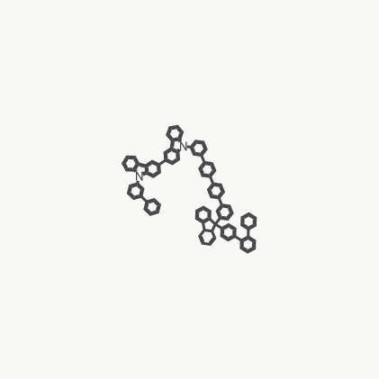 C1=CC2c3ccccc3C(c3ccc(-c4ccccc4-c4ccccc4)cc3)(c3cccc(-c4ccc(-c5ccc(-c6cccc(-n7c8ccccc8c8cc(-c9ccc%10c(c9)c9ccccc9n%10-c9cccc(-c%10ccccc%10)c9)ccc87)c6)cc5)cc4)c3)C2C=C1